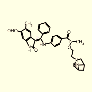 Cc1cc2c(cc1C=O)NC(=O)/C2=C(\Nc1ccc(C(=O)N(C)OCCN2CC3CC(C2)N3)cc1)c1ccccc1